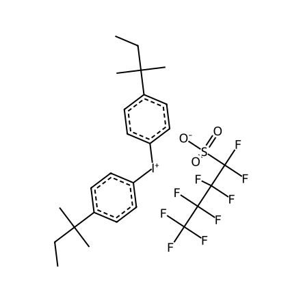 CCC(C)(C)c1ccc([I+]c2ccc(C(C)(C)CC)cc2)cc1.O=S(=O)([O-])C(F)(F)C(F)(F)C(F)(F)C(F)(F)F